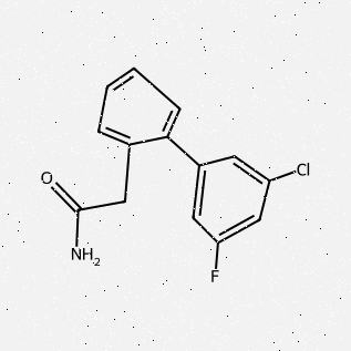 NC(=O)Cc1ccccc1-c1cc(F)cc(Cl)c1